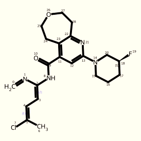 C=N/C(=C\C=C(/C)Cl)NC(=O)c1cc(N2CCC[C@H](F)C2)nc2c1CCOCC2